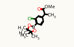 COC(=O)C(C)c1ccc(B2OC(C)(C)C(C)(C)O2)c(Cl)c1